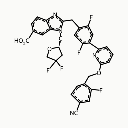 N#Cc1ccc(COc2cccc(-c3cc(F)c(Cc4nc5ccc(C(=O)O)cc5n4C[C@H]4CC(F)(F)CO4)cc3F)n2)c(F)c1